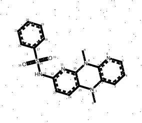 CN1c2cccnc2N(C)c2nc(NS(=O)(=O)c3ccccc3)ccc21